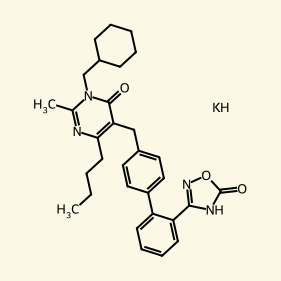 CCCCc1nc(C)n(CC2CCCCC2)c(=O)c1Cc1ccc(-c2ccccc2-c2noc(=O)[nH]2)cc1.[KH]